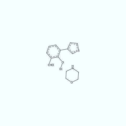 C1COCCN1.CCOc1c(C=O)cccc1-c1ccsc1